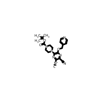 [C-]#[N+]c1nc(N2CCN(C(=O)OC(C)(C)C)CC2)c(OCc2ccncc2)nc1C#N